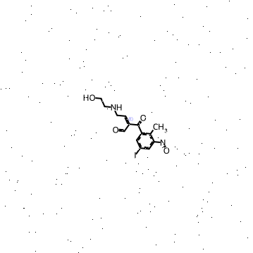 Cc1c(N=O)cc(I)cc1C(=O)/C(C=O)=C/CNCCO